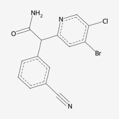 N#Cc1cccc(C(C(N)=O)c2cc(Br)c(Cl)cn2)c1